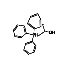 [CH2]C(O)C[PH](c1ccccc1)(c1ccccc1)c1ccccc1